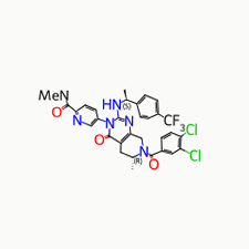 CNC(=O)c1ccc(-n2c(N[C@@H](C)c3ccc(C(F)(F)F)cc3)nc3c(c2=O)C[C@@H](C)N(C(=O)c2ccc(Cl)c(Cl)c2)C3)cn1